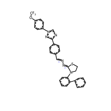 FC(F)(F)Oc1ccc(-n2cnc(-c3ccc(/C=N/N=C4\SCCN4c4ccccc4-c4ccccc4)cc3)n2)cc1